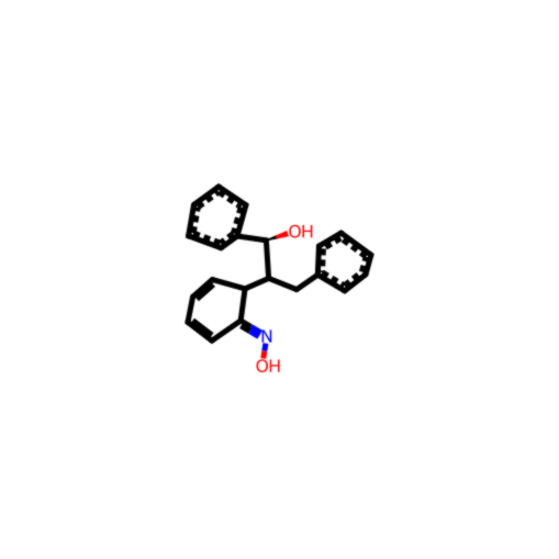 ON=C1C=CC=CC1C(Cc1ccccc1)[C@H](O)c1ccccc1